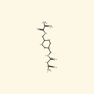 C=C(C)C(=O)OCC1CCC(COC(=O)CC(C)=O)CC1